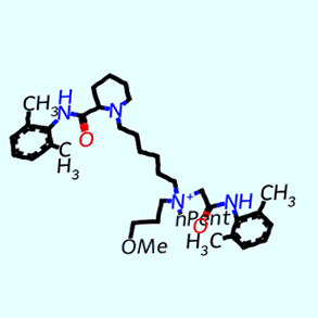 CCCCC[N+](CCCCCCN1CCCCC1C(=O)Nc1c(C)cccc1C)(CCCOC)CC(=O)Nc1c(C)cccc1C